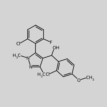 COc1ccc(C(O)c2c(C)nn(C)c2-c2c(F)cccc2Cl)c(Cl)c1